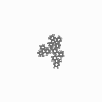 CC1(C)c2ccccc2-c2cccc(-c3ccccc3-c3ccc(N(c4ccc5c(c4)C4(CCCC4)c4ccccc4-5)c4ccc5c(c4)C(c4ccccc4)(c4ccccc4)c4ccccc4-5)cc3)c21